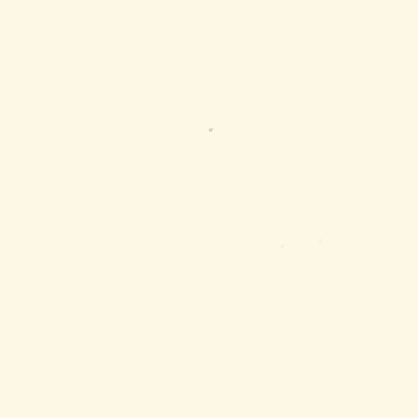 C=C(C)C(=O)OC1CCC2(CC2)c2ccccc21